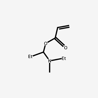 C=CC(=O)OC(CC)N(C)CC